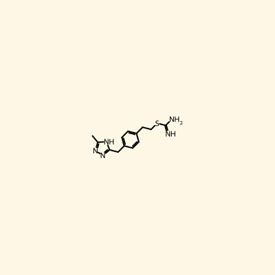 Cc1nnc(Cc2ccc(CCSC(=N)N)cc2)[nH]1